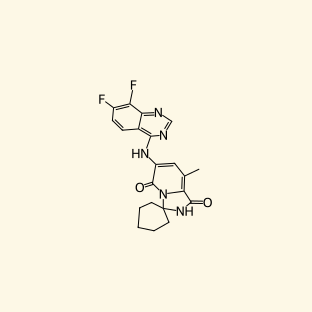 Cc1cc(Nc2ncnc3c(F)c(F)ccc23)c(=O)n2c1C(=O)NC21CCCCC1